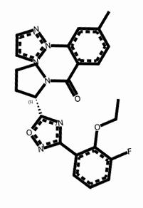 CCOc1c(F)cccc1-c1noc([C@@H]2CCCN2C(=O)c2ccc(C)cc2-n2nccn2)n1